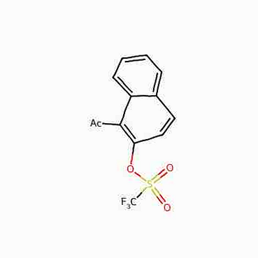 CC(=O)c1c(OS(=O)(=O)C(F)(F)F)ccc2ccccc12